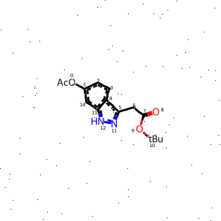 CC(=O)Oc1ccc2c(CC(=O)OC(C)(C)C)n[nH]c2c1